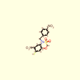 O=[N+]([O-])c1ccc(CN2c3cc([N+](=O)[O-])c(F)cc3OCS2(=O)=O)cc1